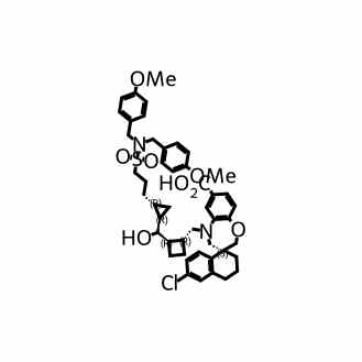 COc1ccc(CN(Cc2ccc(OC)cc2)S(=O)(=O)CCC[C@@H]2C[C@H]2C(O)[C@@H]2CC[C@H]2CN2C[C@@]3(CCCc4cc(Cl)ccc43)COc3ccc(C(=O)O)cc32)cc1